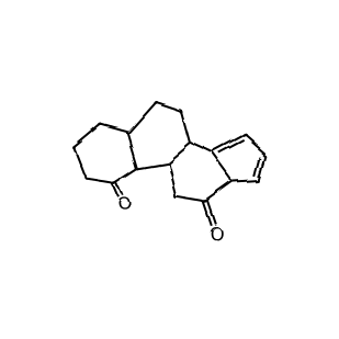 O=C1CC2C(CCC3CCCC(=O)C32)C2=CC=CC12